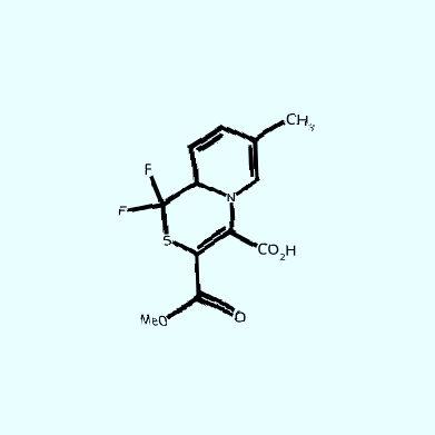 COC(=O)C1=C(C(=O)O)N2C=C(C)C=CC2C(F)(F)S1